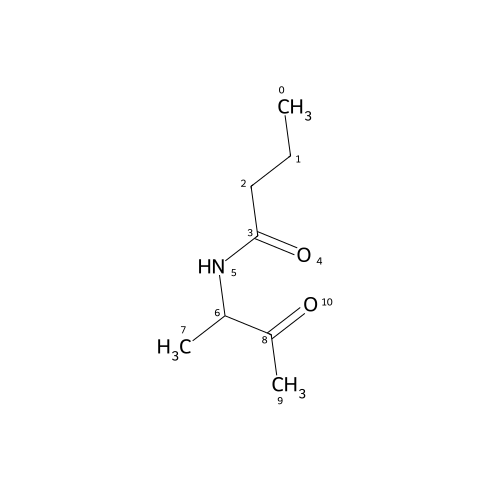 CCCC(=O)NC(C)C(C)=O